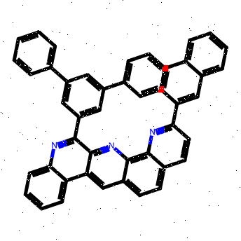 c1ccc(-c2cc(-c3ccccc3)cc(-c3nc4ccccc4c4cc5ccc6ccc(-c7ccc8ccccc8c7)nc6c5nc34)c2)cc1